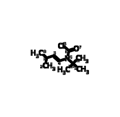 CC(C)C=CN(C(=O)Cl)C(C)(C)C